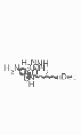 CCCCCCCCCCCCCCCCCC(=O)NS(=O)(=O)c1ccc(N)cc1.N=C(N)N